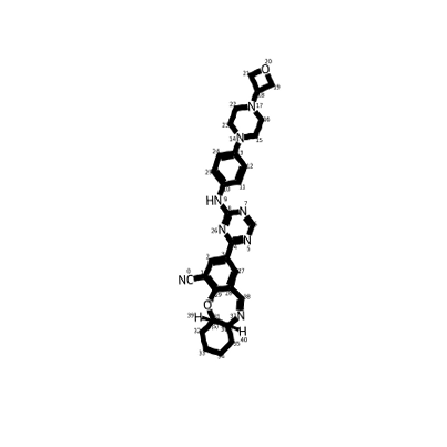 N#Cc1cc(-c2ncnc(Nc3ccc(N4CCN(C5COC5)CC4)cc3)n2)cc2c1O[C@H]1CCCC[C@H]1N=C2